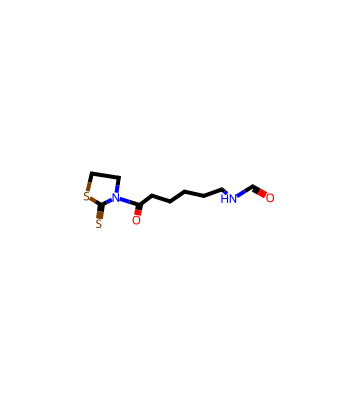 O=CNCCCCCC(=O)N1CCSC1=S